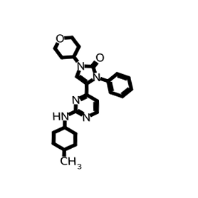 CC1CCC(Nc2nccc(-c3cn(C4CCOCC4)c(=O)n3-c3ccccc3)n2)CC1